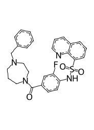 O=C(c1ccc(NS(=O)(=O)c2cccc3cccnc23)c(F)c1)N1CCCN(Cc2ccccc2)CC1